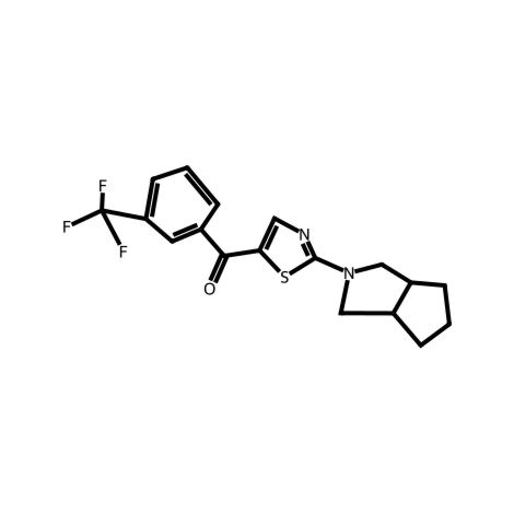 O=C(c1cccc(C(F)(F)F)c1)c1cnc(N2CC3CCCC3C2)s1